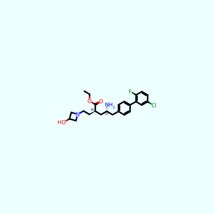 CCOC(=O)[C@H](CCN1CC(O)C1)C[C@H](N)Cc1ccc(-c2cc(Cl)ccc2F)cc1